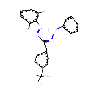 CC(C)(C)c1ccc(C(N=Nc2c(F)cccc2F)=NNc2ccccc2)cc1